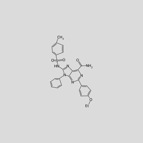 CCOc1ccc(-c2nc(C(N)=O)c3nc(NS(=O)(=O)c4ccc(C)cc4)n(-c4ccccc4)c3n2)cc1